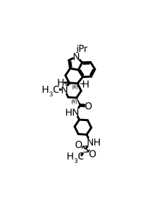 CC(C)n1cc2c3c(cccc31)[C@H]1C[C@@H](C(=O)NC3CCC(NS(C)(=O)=O)CC3)CN(C)[C@@H]1C2